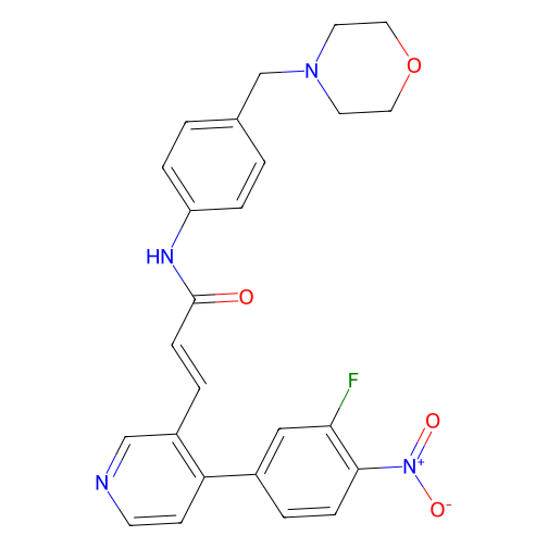 O=C(C=Cc1cnccc1-c1ccc([N+](=O)[O-])c(F)c1)Nc1ccc(CN2CCOCC2)cc1